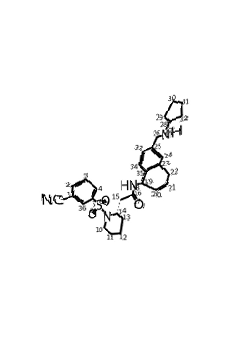 N#Cc1cccc(S(=O)(=O)N2CCCC[C@H]2CC(=O)N[C@@H]2CCCc3cc(CNC4CCCC4)ccc32)c1